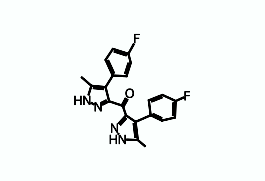 Cc1[nH]nc(C(=O)c2n[nH]c(C)c2-c2ccc(F)cc2)c1-c1ccc(F)cc1